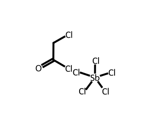 O=C(Cl)CCl.[Cl][Sb]([Cl])([Cl])([Cl])[Cl]